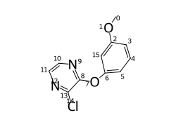 COc1cccc(Oc2nccnc2Cl)c1